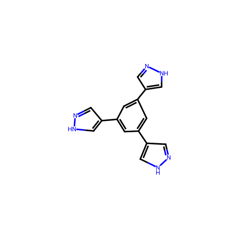 c1n[nH]cc1-c1cc(-c2cn[nH]c2)cc(-c2cn[nH]c2)c1